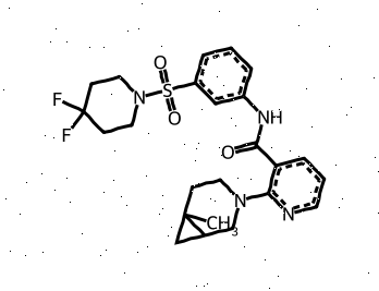 CC12CCN(c3ncccc3C(=O)Nc3cccc(S(=O)(=O)N4CCC(F)(F)CC4)c3)CC1C2